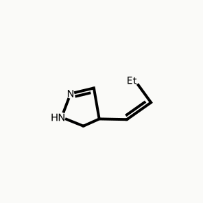 CC/C=C\C1C=NNC1